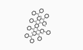 c1ccc(-c2ccc3c(n2)N(c2ccccc2)c2cc(N(c4ccccc4)c4ccccc4)nc4c2N3c2cc3c(cc2N4c2ccccc2)N(c2ccccc2)c2cc(N(c4ccccc4)c4ccccc4)nc4c2B3c2cnccc2N4c2ccccc2)cc1